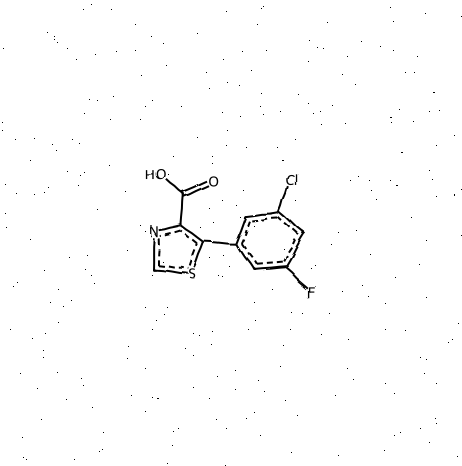 O=C(O)c1ncsc1-c1cc(F)cc(Cl)c1